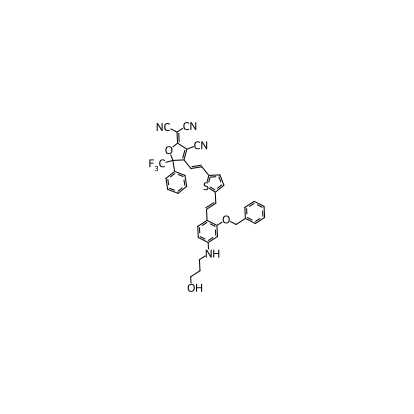 N#CC(C#N)=C1OC(c2ccccc2)(C(F)(F)F)C(C=Cc2ccc(C=Cc3ccc(NCCCO)cc3OCc3ccccc3)s2)=C1C#N